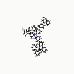 CC1(c2ccccc2)c2ccccc2-c2c(N(c3ccc(-c4ccc(-c5cccc6ccccc56)cc4)cc3)c3ccc(-c4ccc5c(c4)c(-c4ccccc4)c(-c4ccccc4)c4ccccc45)cc3)cccc21